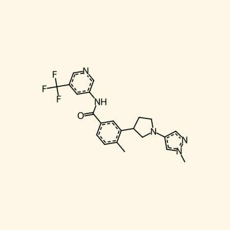 Cc1ccc(C(=O)Nc2cncc(C(F)(F)F)c2)cc1C1CCN(c2cnn(C)c2)C1